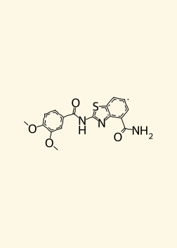 COc1ccc(C(=O)Nc2nc3c(C(N)=O)c[c]cc3s2)cc1OC